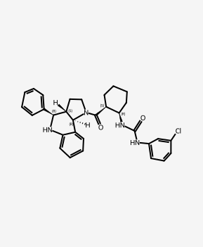 O=C(Nc1cccc(Cl)c1)N[C@@H]1CCCC[C@@H]1C(=O)N1CC[C@H]2[C@H](c3ccccc3)Nc3ccccc3[C@@H]21